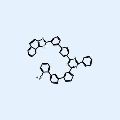 Nc1ccccc1-c1cccc(-c2cccc(-c3nc(-c4ccccc4)nc(-c4ccc(-c5cccc(-c6nc7ccc8ccccc8c7o6)c5)cc4)n3)c2)c1